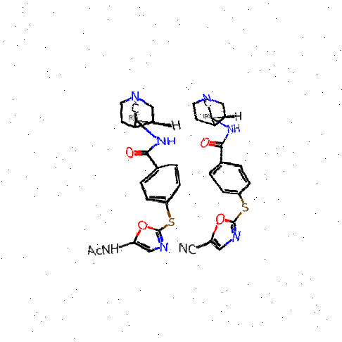 CC(=O)Nc1cnc(Sc2ccc(C(=O)N[C@H]3CN4CCC3CC4)cc2)o1.N#Cc1cnc(Sc2ccc(C(=O)N[C@H]3CN4CCC3CC4)cc2)o1